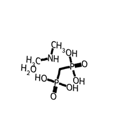 CNC.O.O=P(O)(O)CP(=O)(O)O